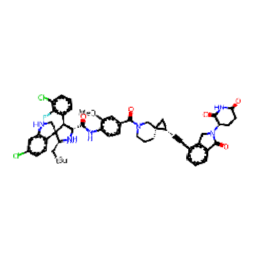 COc1cc(C(=O)N2CCC[C@@]3(C[C@@H]3C#Cc3cccc4c3CN([C@@H]3CCC(=O)NC3=O)C4=O)C2)ccc1NC(=O)[C@@H]1N[C@@H](CC(C)(C)C)[C@@]2(CNc3cc(Cl)ccc32)[C@H]1c1cccc(Cl)c1F